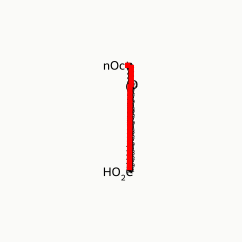 CCCCCCCC/C=C\CCCCCCCC(=O)OCCCCCCCCCCCCCCCCCCCCCCCCCCCCCCCCCCCCCCCC(=O)O